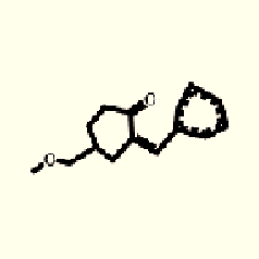 COCC1CCC(=O)/C(=C\c2ccccc2)C1